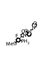 COc1cc(F)c([C@H]2CC(=O)N(c3cccn(CCN4CCOCC4)c3=O)C2)c(P)c1